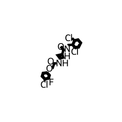 O=C(COc1ccc(Cl)c(F)c1)NC12CC(C(=O)NCc3c(Cl)cccc3Cl)(C1)C2